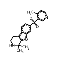 Cc1ccncc1S(=O)(=O)c1ccc2c3c(oc2c1)C(C)(C)NCC3